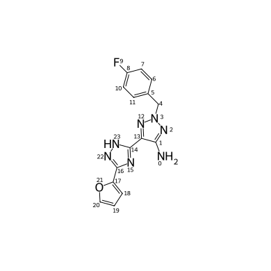 Nc1nn(Cc2ccc(F)cc2)nc1-c1nc(-c2ccco2)n[nH]1